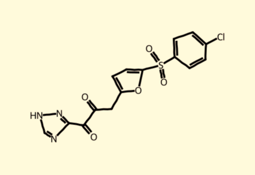 O=C(Cc1ccc(S(=O)(=O)c2ccc(Cl)cc2)o1)C(=O)c1nc[nH]n1